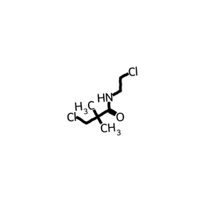 CC(C)(CCl)C(=O)NCCCl